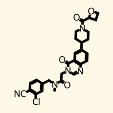 CN(Cc1ccc(C#N)c(Cl)c1)C(=O)Cn1cnc2ccc(C3CCN(C(=O)C4CCO4)CC3)cc2c1=O